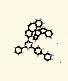 C1=Cc2ccc(-c3cc(-c4ccccc4)nc(-c4ccc(-c5cccnc5)nc4)n3)cc2C2(c3ccccc31)c1ccccc1-c1c2ccc2ccccc12